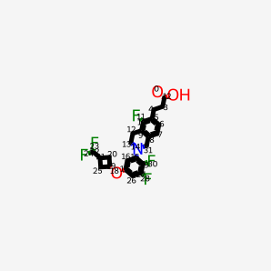 O=C(O)CCc1ccc2c(c1F)CCN(c1cc(OC3CC(C(F)F)C3)cc(F)c1F)C2